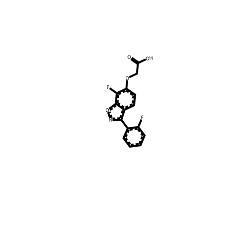 O=C(O)COc1ccc2c(-c3ccccc3F)noc2c1F